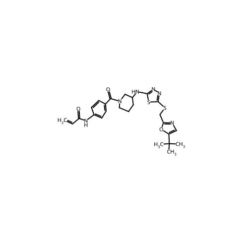 C=CC(=O)Nc1ccc(C(=O)N2CCCC(Nc3nnc(SCc4ncc(C(C)(C)C)o4)s3)C2)cc1